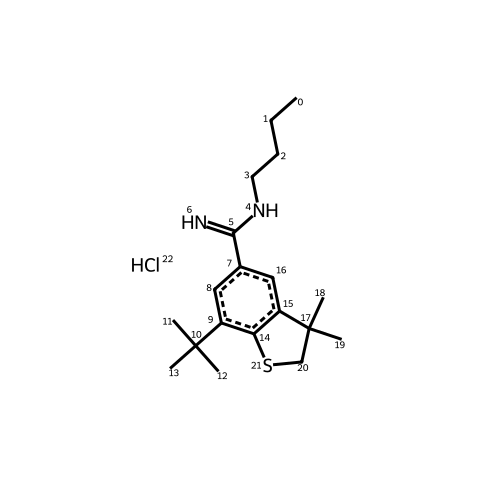 CCCCNC(=N)c1cc(C(C)(C)C)c2c(c1)C(C)(C)CS2.Cl